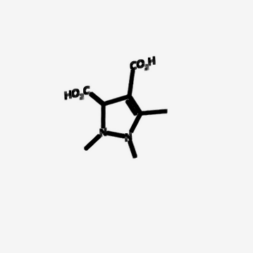 CC1=C(C(=O)O)C(C(=O)O)N(C)N1C